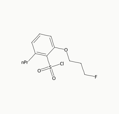 CCCc1cccc(OCCCF)c1S(=O)(=O)Cl